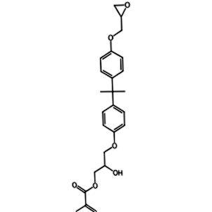 C=C(C)C(=O)OCC(O)COc1ccc(C(C)(C)c2ccc(OCC3CO3)cc2)cc1